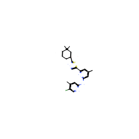 Cc1cc(Nc2cc(C)c(Cl)cn2)nc(-c2cnc([C@@]3(O)CC[C@@H](C(=O)O)C(C)(C)C3)s2)c1